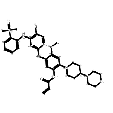 C=CC(=O)Nc1cc(Nc2ncc(Cl)c(Nc3ccccc3P(C)(C)=O)n2)c(OC)cc1N1CCC(N2CCOCC2)CC1